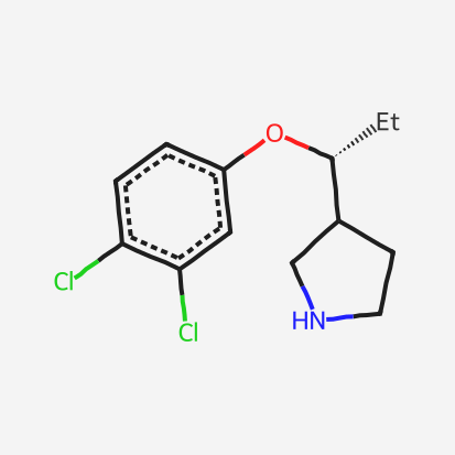 CC[C@@H](Oc1ccc(Cl)c(Cl)c1)C1CCNC1